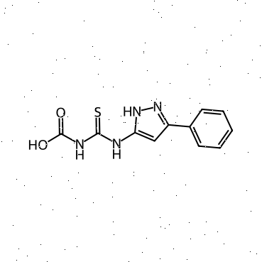 O=C(O)NC(=S)Nc1cc(-c2ccccc2)n[nH]1